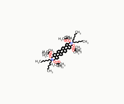 CCCCCCCC(CCCCCCC)N1C(=O)c2c(B3OC(C)(C)C(C)(C)O3)cc3c4ccc5c6ccc7c8cc(B9OC(C)(C)C(C)(C)O9)c9c%10c(c(B%11OC(C)(C)C(C)(C)O%11)cc(c%11ccc(c%12ccc(c%13cc(B%14OC(C)(C)C(C)(C)O%14)c(c2c3%13)C1=O)c4c5%12)c6c7%11)c%108)C(=O)N(C(CCCCCCC)CCCCCCC)C9=O